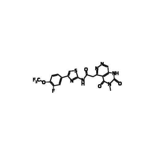 Cn1c(=O)[nH]c2cnnc(CC(=O)Nc3nc(-c4ccc(OC(F)(F)F)c(F)c4)cs3)c2c1=O